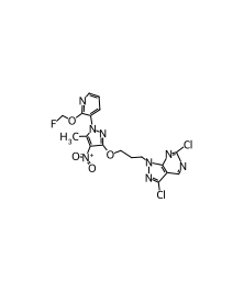 Cc1c([N+](=O)[O-])c(OCCCn2nc(Cl)c3cnc(Cl)nc32)nn1-c1cccnc1OCF